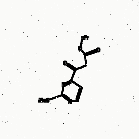 CCCOC(=O)CC(=O)c1ccnc(SC)n1